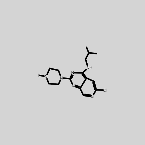 CC(C)CNc1nc(N2CCN(I)CC2)nc2cnc(Cl)cc12